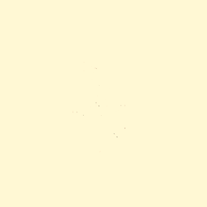 C=CCn1cc(C)c(C(=O)OC2C(C)=CC34CCC5C(C(C=C6COC(C)(C)OC6C23N)C4=O)C5(C)C)c1C